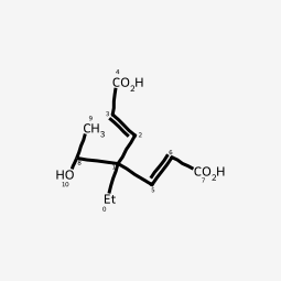 CCC(C=CC(=O)O)(C=CC(=O)O)C(C)O